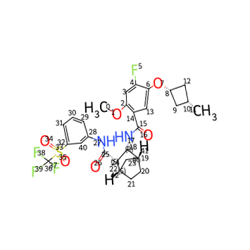 COc1cc(F)c(O[C@H]2C[C@@H](C)C2)cc1C(=O)N[C@@H]1[C@@H]2CC[C@@H](C2)[C@@H]1C(=O)Nc1cccc(S(=O)(=O)C(F)(F)F)c1